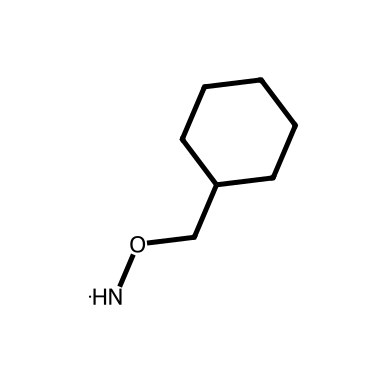 [NH]OCC1CCCCC1